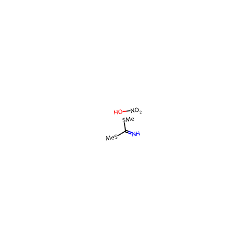 CSC(=N)SC.O=[N+]([O-])O